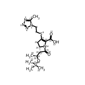 Cc1nnnn1CCSC1=C(C(=O)O)N2C(=O)[C@H]([C@H](C)O[Si](C)(C)C)C2C1